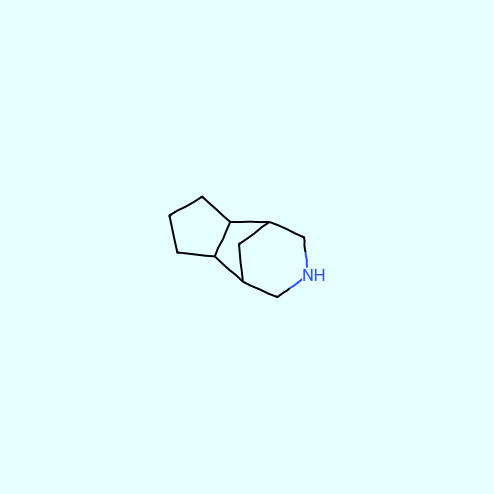 C1CC2C3CNCC(C3)C2C1